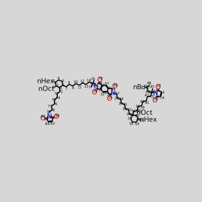 CCCCCCCCC1C(CCCCCC)CCC(CCCCCCCCC(C)(C)n2c(=O)c3cc4c(=O)n(CCCCCCCCC5(CCCCCCCCC(C)(CC(C)CCCC)N6C(=O)C=CC6=O)CCCC(CCCCCC)C5CCCCCCCC)c(=O)c4cc3c2=O)C1CCCCCCCCN1C(=O)C=CC1=O